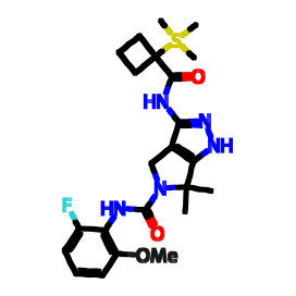 COc1cccc(F)c1NC(=O)N1Cc2c(NC(=O)C3(S(C)(C)C)CCC3)n[nH]c2C1(C)C